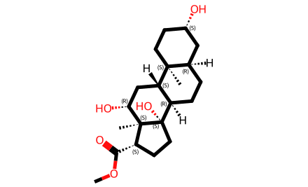 COC(=O)[C@H]1CC[C@]2(O)[C@@H]3CC[C@@H]4C[C@@H](O)CC[C@]4(C)[C@H]3C[C@@H](O)[C@]12C